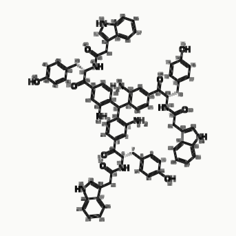 Nc1cc(C(=O)[C@H](Cc2ccc(O)cc2)NC(=O)Cc2c[nH]c3ccccc23)ccc1C(c1ccc(C(=O)[C@H](Cc2ccc(O)cc2)NC(=O)Cc2c[nH]c3ccccc23)cc1N)c1ccc(C(=O)[C@H](Cc2ccc(O)cc2)NC(=O)Cc2c[nH]c3ccccc23)cc1N